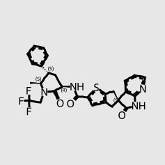 C[C@H]1[C@H](c2ccccc2)C[C@@H](NC(=O)c2cc3c(s2)C[C@]2(C3)C(=O)Nc3ncccc32)C(=O)N1CC(F)(F)F